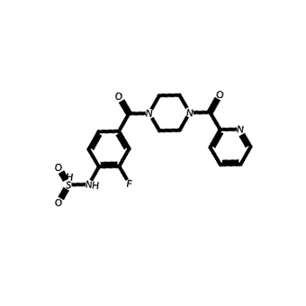 O=C(c1ccc(N[SH](=O)=O)c(F)c1)N1CCN(C(=O)c2ccccn2)CC1